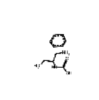 CCC(CN)NC(=O)O.c1ccccc1